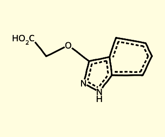 O=C(O)COc1n[nH]c2ccccc12